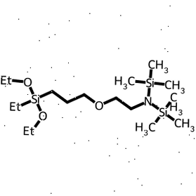 CCO[Si](CC)(CCCOCCN([Si](C)(C)C)[Si](C)(C)C)OCC